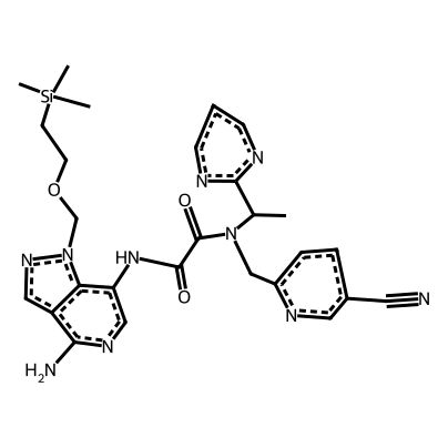 CC(c1ncccn1)N(Cc1ccc(C#N)cn1)C(=O)C(=O)Nc1cnc(N)c2cnn(COCC[Si](C)(C)C)c12